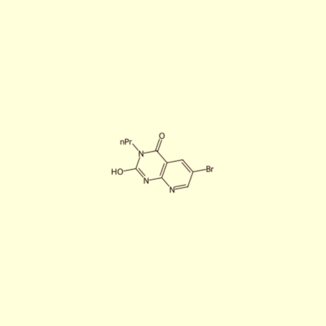 CCCn1c(O)nc2ncc(Br)cc2c1=O